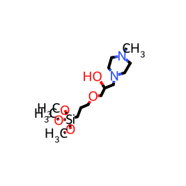 CO[Si](CCCOCC(O)CN1CCN(C)CC1)(OC)OC